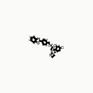 Clc1ccc([C@]2(Cn3ccnc3)OC[C@@H](COCc3ccc(-c4nc5ccccc5o4)cc3)O2)c(Cl)c1